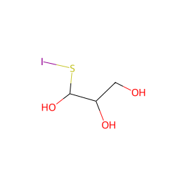 OCC(O)C(O)SI